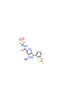 CC(C)n1nc(-c2cc(OC(F)F)ccc2F)c2cnc(C(=O)NC3(C)CS(=O)(=O)C3)cc21